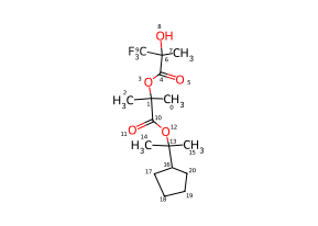 CC(C)(OC(=O)C(C)(O)C(F)(F)F)C(=O)OC(C)(C)C1CCCC1